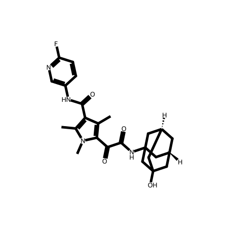 Cc1c(C(=O)Nc2ccc(F)nc2)c(C)n(C)c1C(=O)C(=O)NC12C[C@@H]3C[C@@H](CC(O)(C3)C1)C2